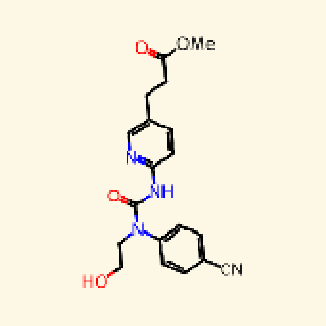 COC(=O)CCc1ccc(NC(=O)N(CCO)c2ccc(C#N)cc2)nc1